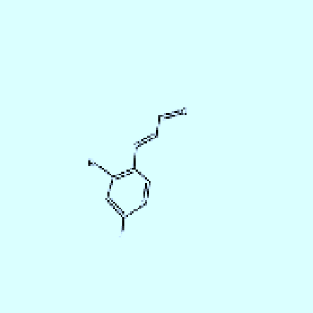 O=C/C=C/c1ccc(F)cc1Br